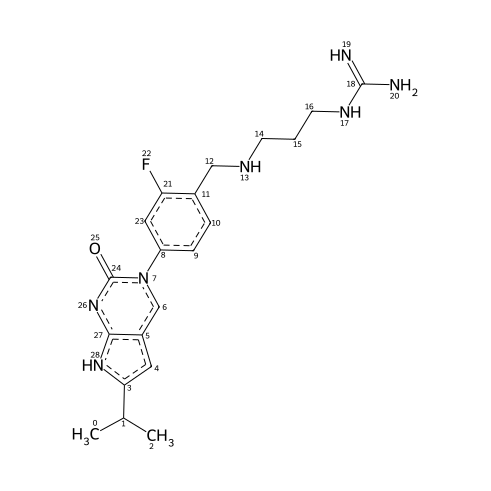 CC(C)c1cc2cn(-c3ccc(CNCCCNC(=N)N)c(F)c3)c(=O)nc2[nH]1